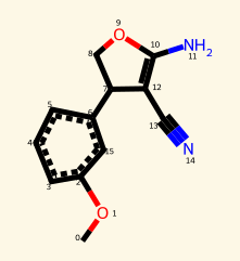 COc1cccc(C2COC(N)=C2C#N)c1